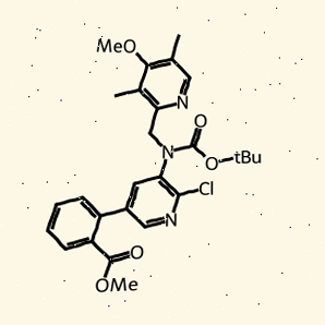 COC(=O)c1ccccc1-c1cnc(Cl)c(N(Cc2ncc(C)c(OC)c2C)C(=O)OC(C)(C)C)c1